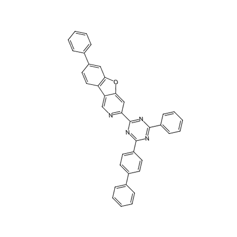 c1ccc(-c2ccc(-c3nc(-c4ccccc4)nc(-c4cc5oc6cc(-c7ccccc7)ccc6c5cn4)n3)cc2)cc1